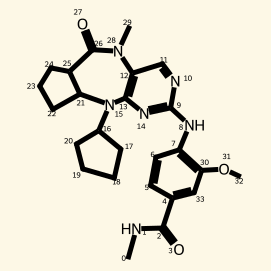 CNC(=O)c1ccc(Nc2ncc3c(n2)N(C2CCCC2)C2CCCC2C(=O)N3C)c(OC)c1